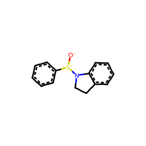 [O-][S+](c1ccccc1)N1CCc2ccccc21